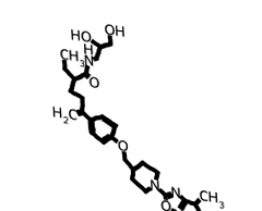 C=C(CCC(CC)C(=O)NCC(O)CO)c1ccc(OCC2CCN(c3nc(C(C)C)no3)CC2)cc1